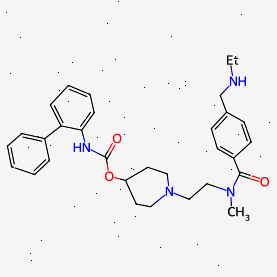 CCNCc1ccc(C(=O)N(C)CCN2CCC(OC(=O)Nc3ccccc3-c3ccccc3)CC2)cc1